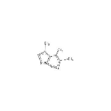 Cc1ccc2ncn(C)c2c1C